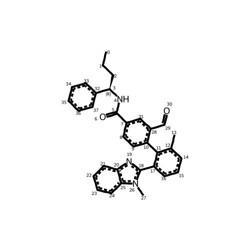 CCC[C@@H](NC(=O)c1ccc(-c2c(C)cccc2-c2nc3ccccc3n2C)c(C=O)c1)c1ccccc1